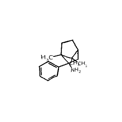 CC1(C)C2CCC1(C)C(N)(c1ccccc1)C2